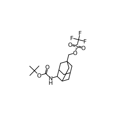 CC(C)(C)OC(=O)NC1C2CC3CC1CC(COS(=O)(=O)C(F)(F)F)(C3)C2